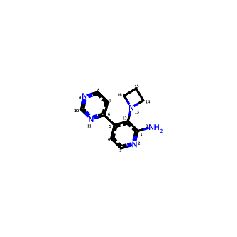 Nc1nccc(-c2ccncn2)c1N1CCC1